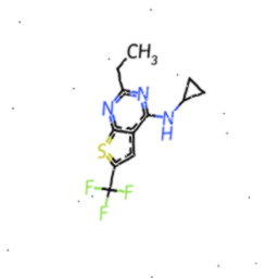 CCc1nc(NC2CC2)c2cc(C(F)(F)F)sc2n1